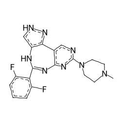 CN1CCN(c2ncc3c(n2)N=C(c2c(F)cccc2F)Nc2c[nH]nc2-3)CC1